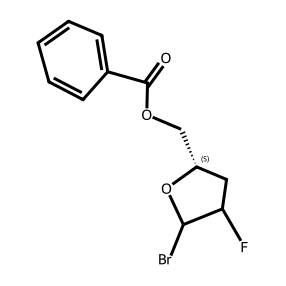 O=C(OC[C@@H]1CC(F)C(Br)O1)c1ccccc1